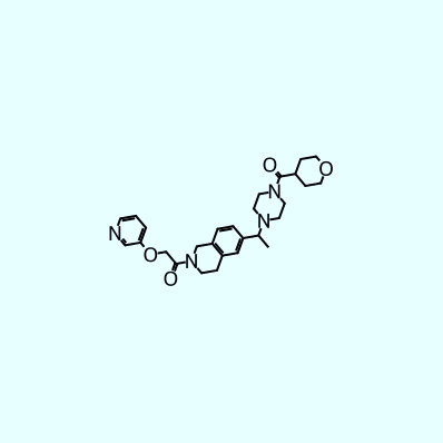 CC(c1ccc2c(c1)CCN(C(=O)COc1cccnc1)C2)N1CCN(C(=O)C2CCOCC2)CC1